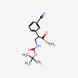 COC(=O)C(CNC(=O)OC(C)(C)C)c1cccc(C#N)c1